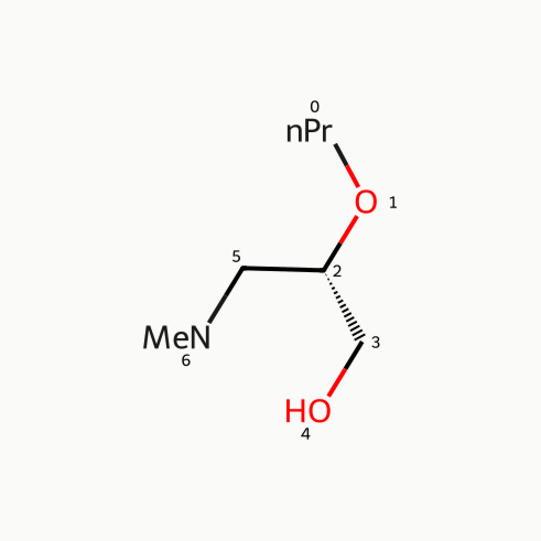 CCCO[C@H](CO)CNC